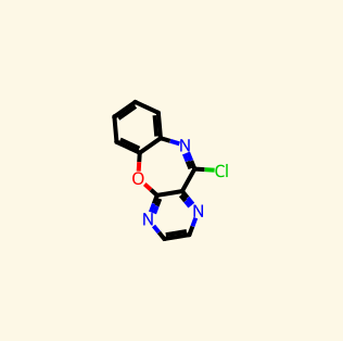 ClC1=Nc2ccccc2Oc2nccnc21